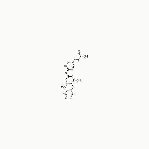 C[C@@H]1CN(Cc2ccc(C=CC(=O)O)cc2)C[C@H](C)N1Cc1ccccc1